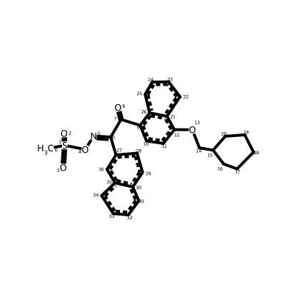 CS(=O)(=O)O/N=C(/C(=O)c1ccc(OCC2CCCCC2)c2ccccc12)c1ccc2ccccc2c1